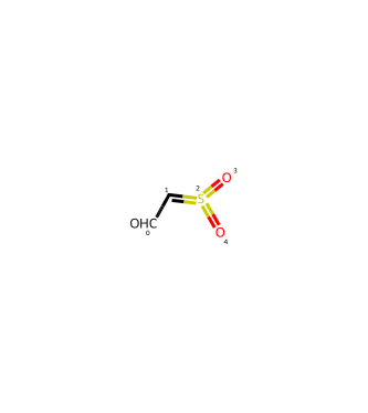 O=CC=S(=O)=O